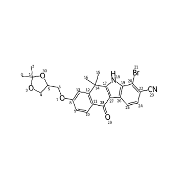 CC1(C)OCC(COc2ccc3c(c2)C(C)(C)c2[nH]c4c(Br)c(C#N)ccc4c2C3=O)O1